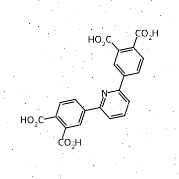 O=C(O)c1ccc(-c2cccc(-c3ccc(C(=O)O)c(C(=O)O)c3)n2)cc1C(=O)O